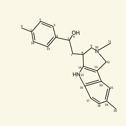 Cc1ccc(C(O)CC2CN(C)Cc3c2[nH]c2ccc(C)cc32)cc1